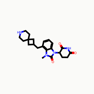 Cn1c(=O)n(C2CCC(=O)NC2=O)c2cccc(CC3CC4(CCNCC4)C3)c21